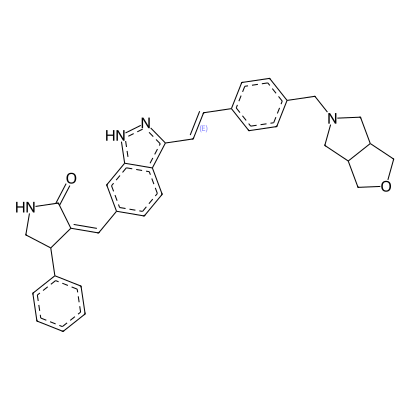 O=C1NCC(c2ccccc2)C1=Cc1ccc2c(/C=C/c3ccc(CN4CC5COCC5C4)cc3)n[nH]c2c1